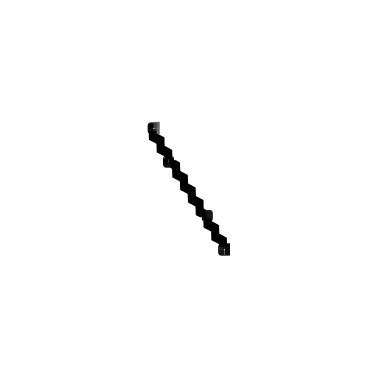 ClCCCCOCCCCCCCCOCCCCCl